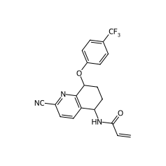 C=CC(=O)NC1CCC(Oc2ccc(C(F)(F)F)cc2)c2nc(C#N)ccc21